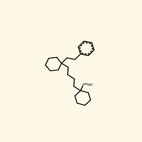 CCCCCCCC1(CCCCC2(CCc3ccccc3)CCCCC2)CCCCC1